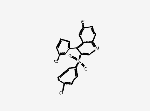 O=S(=O)(c1ccc(Cl)cc1)c1cnc2ccc(F)cc2c1-c1cccc(Cl)c1